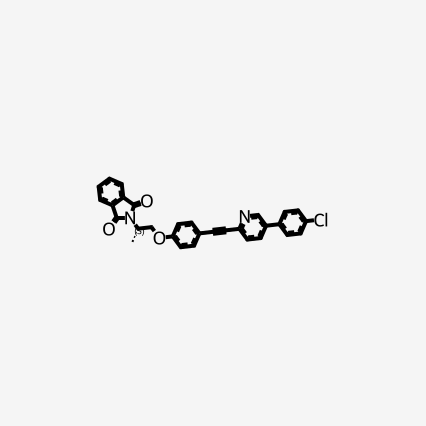 C[C@@H](COc1ccc(C#Cc2ccc(-c3ccc(Cl)cc3)cn2)cc1)N1C(=O)c2ccccc2C1=O